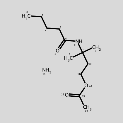 CCCCC(=O)NC(C)(C)CCOC(C)=O.N